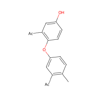 CC(=O)c1cc(Oc2ccc(O)cc2C(C)=O)ccc1C